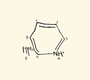 [Hf+4].c1cc[nH+]cc1